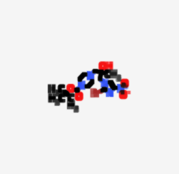 CC(O)(CN1CCN(C(=O)OC(C)(C)C)CC1)Cn1cc([N+](=O)[O-])nc1Br